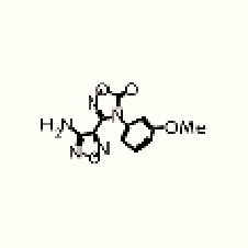 COc1cccc(-n2c(-c3nonc3N)noc2=O)c1